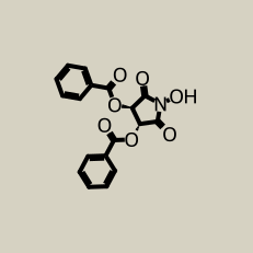 O=C(O[C@H]1C(=O)N(O)C(=O)[C@@H]1OC(=O)c1ccccc1)c1ccccc1